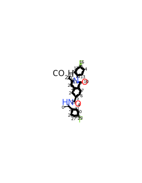 C[C@@H](NC(=O)c1ccc2c(=O)n(-c3ccc(F)cc3)c(CC(=O)O)cc2c1)c1ccc(F)cc1